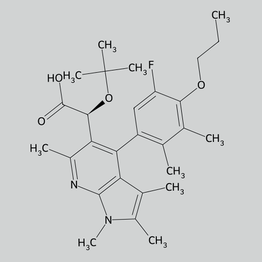 CCCOc1c(F)cc(-c2c([C@H](OC(C)(C)C)C(=O)O)c(C)nc3c2c(C)c(C)n3C)c(C)c1C